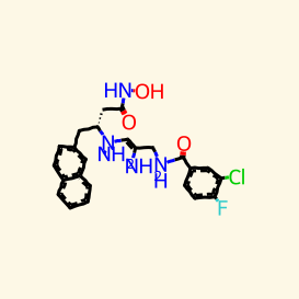 N/C(=C\N(N)[C@@H](CC(=O)NO)Cc1ccc2ccccc2c1)CNC(=O)c1ccc(F)c(Cl)c1